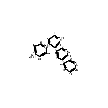 [Ni].c1ccncc1.c1ccncc1.c1ccncc1.c1ccncc1